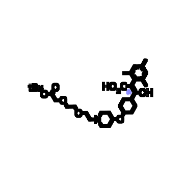 Cc1cc(C)c(/C(C(=O)O)=C(\O)C2CCC(OC3CCN(CCOCCOCC(=O)OC(C)(C)C)CC3)CC2)c(C)c1